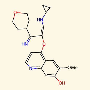 COc1cc2c(O/C(=C/NC3CC3)C(=N)C3CCOCC3)ccnc2cc1O